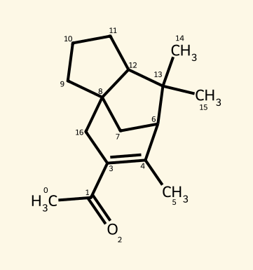 CC(=O)C1=C(C)C2CC3(CCCC3C2(C)C)C1